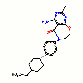 Cc1nc(N)c2c(n1)OCCN(c1ccc([C@H]3CC[C@H](CC(=O)O)CC3)cc1)C2=O